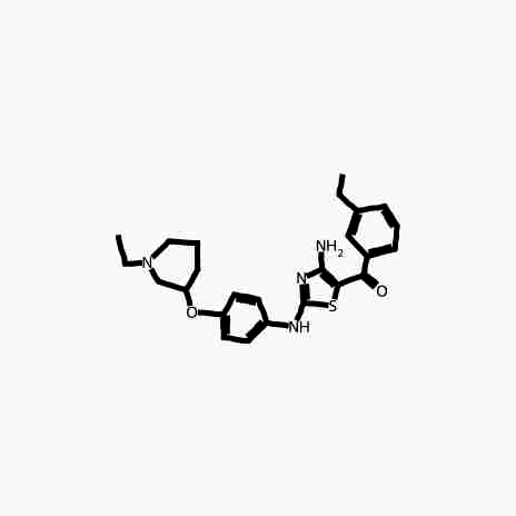 CCc1cccc(C(=O)c2sc(Nc3ccc(OC4CCCN(CC)C4)cc3)nc2N)c1